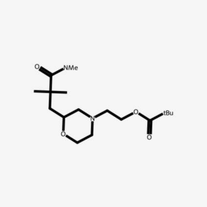 CNC(=O)C(C)(C)CC1CN(CCOC(=O)C(C)(C)C)CCO1